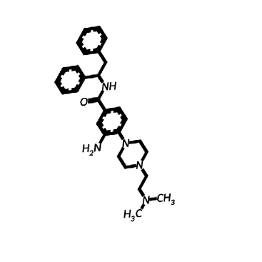 CN(C)CCN1CCN(c2ccc(C(=O)NC(Cc3ccccc3)c3ccccc3)cc2N)CC1